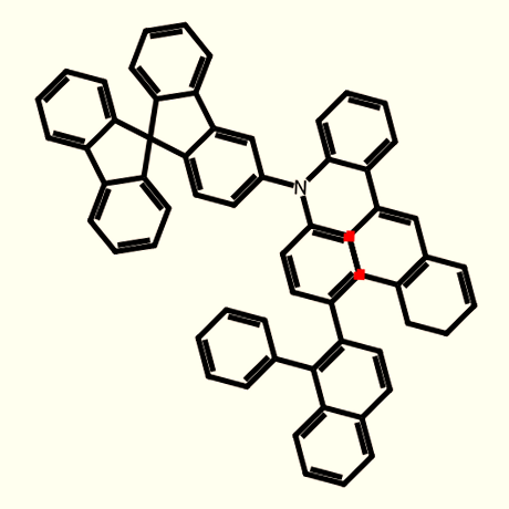 C1=CC2=C(CC1)CCC(c1ccccc1N(c1ccc(-c3ccc4ccccc4c3-c3ccccc3)cc1)c1ccc3c(c1)-c1ccccc1C31c3ccccc3-c3ccccc31)=C2